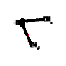 CCCCCC=CCC=CCCCCCCCCO[C@H]1CNC[C@@H]1OCCCCCCCCC=CCC=CCCCCC